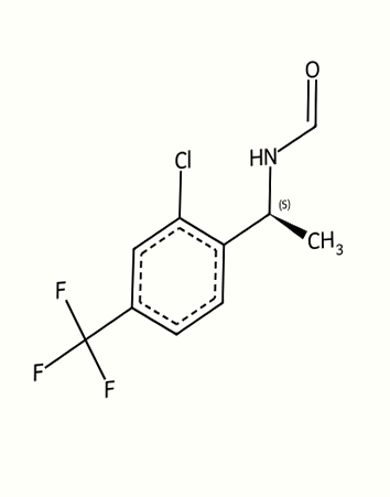 C[C@H](NC=O)c1ccc(C(F)(F)F)cc1Cl